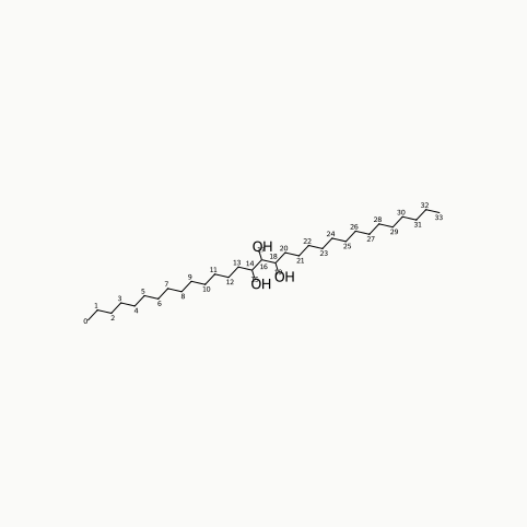 CCCCCCCCCCCCCCC(O)C(O)C(O)CCCCCCCCCCCCCC